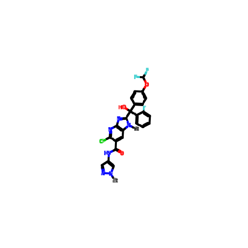 CCn1cc(NC(=O)c2cc3c(nc2Cl)nc(C(O)(c2ccc(OC(F)F)cc2)c2ccccc2F)n3CC)cn1